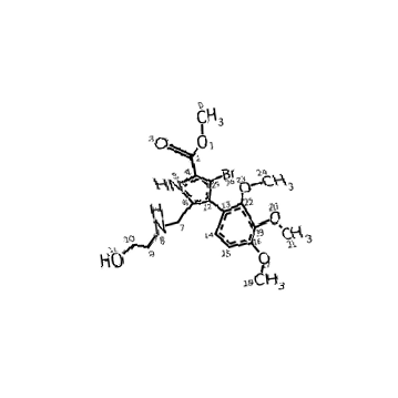 COC(=O)c1[nH]c(CNCCO)c(-c2ccc(OC)c(OC)c2OC)c1Br